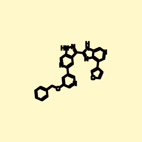 c1ccc(COc2cncc(-c3cc4c(-c5nc6c(-c7ccoc7)cncc6[nH]5)n[nH]c4cn3)c2)cc1